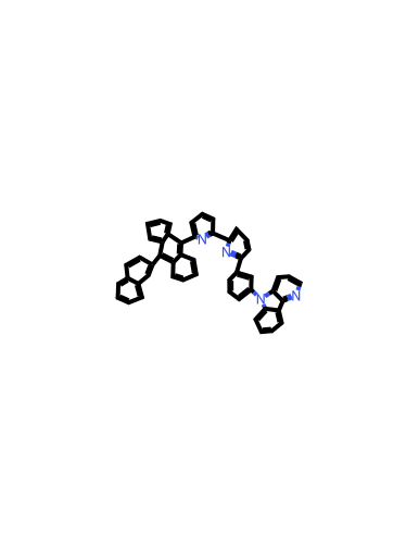 c1cc(-c2cccc(-c3cccc(-c4c5ccccc5c(-c5ccc6ccccc6c5)c5ccccc45)n3)n2)cc(-n2c3ccccc3c3ncccc32)c1